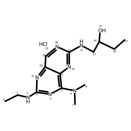 CCNc1nc(N(C)C)c2nc(NCC(O)CC)ncc2n1.Cl